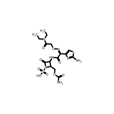 CCN(CC)C(=O)CO/N=C(\C(=O)NC1C(=O)N(S(=O)(=O)O)C1COC(N)=O)c1csc(N)n1